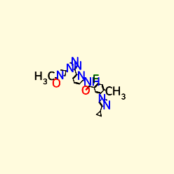 CC(=O)N1CC(n2cnnc2-c2cccc(NC(=O)c3cc(-n4cnc(C5CC5)c4)c(C)cc3F)n2)C1